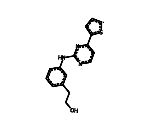 OCCc1cccc(Nc2nccc(-c3cc[c]s3)n2)c1